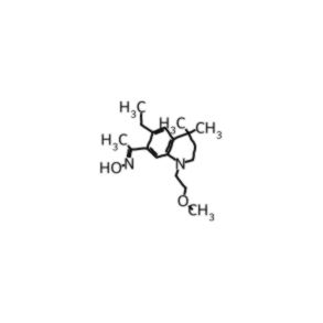 CCc1cc2c(cc1/C(C)=N/O)N(CCOC)CCC2(C)C